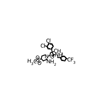 CC(CCN1CCC(S(C)(=O)=O)CC1N)(C(=O)NCc1ccc(C(F)(F)F)cc1)c1ccc(Cl)c(Cl)c1